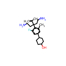 C=C(C)C(CCN)(CCN)c1c(C)cc(C2CCC(O)CC2)cc1F